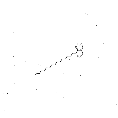 CCN(CC)C(=O)CCCCCCCCCCCCCCC=O